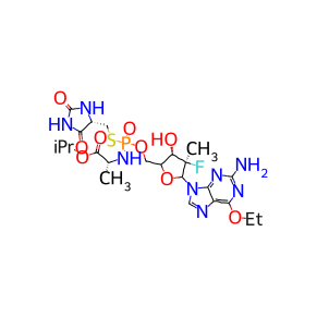 CCOc1nc(N)nc2c1ncn2C1OC(COP(=O)(N[C@H](C)C(=O)OC(C)C)SC[C@H]2NC(=O)NC2=O)[C@@H](O)[C@@]1(C)F